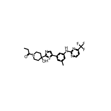 CCC(=O)N1CCC(O)(c2ncc(-c3cc(C)cc(Nc4nccc(C(F)(F)F)n4)c3)s2)CC1